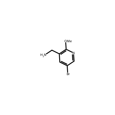 COc1ncc(Br)cc1CN